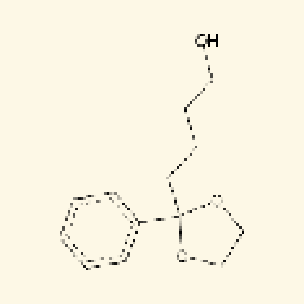 OCCCCC1(c2ccccc2)OCCO1